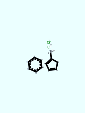 [Cl-].[Cl-].[Ti+2][C]1=CC=CC1.c1ccccc1